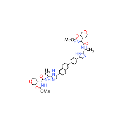 COC(=O)N[C@H](C(=O)N[C@@H](C)c1ncc(-c2ccc(-c3ccc4cc(-c5cnc([C@H](C)NC(=O)[C@@H](NC(=O)OC)C6CCOCC6)[nH]5)ccc4c3)cc2)[nH]1)C1CCOCC1